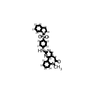 CN1C(=O)Cc2cnc(Nc3ccc(S(=O)(=O)N4CCc5ccccc54)cc3)nc2-c2ccccc21